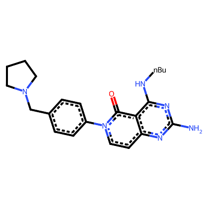 CCCCNc1nc(N)nc2ccn(-c3ccc(CN4CCCC4)cc3)c(=O)c12